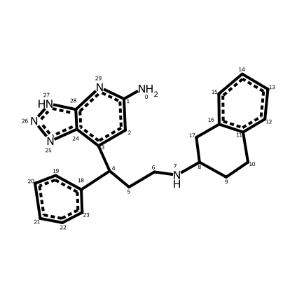 Nc1cc(C(CCNC2CCc3ccccc3C2)c2ccccc2)c2nn[nH]c2n1